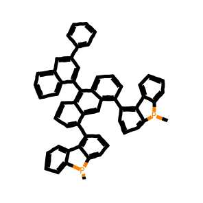 Cp1c2ccccc2c2c(-c3cccc4c(-c5cc(-c6ccccc6)cc6ccccc56)c5cccc(-c6cccc7c6c6ccccc6p7C)c5cc34)cccc21